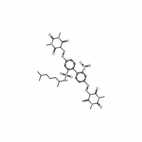 CC(C)CCCC(C)NS(=O)(=O)c1cc(N=NC2C(=O)N(C)C(=O)N(C)C2=O)ccc1-c1ccc(N=NC2C(=O)N(C)C(=O)N(C)C2=O)cc1[SH](=O)=O